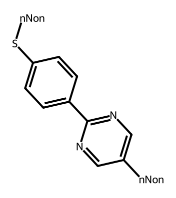 CCCCCCCCCSc1ccc(-c2ncc(CCCCCCCCC)cn2)cc1